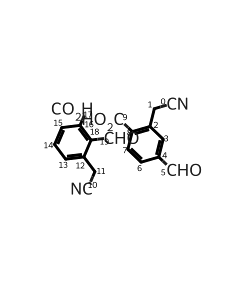 N#CCc1cc(C=O)ccc1C(=O)O.N#CCc1cccc(C(=O)O)c1C=O